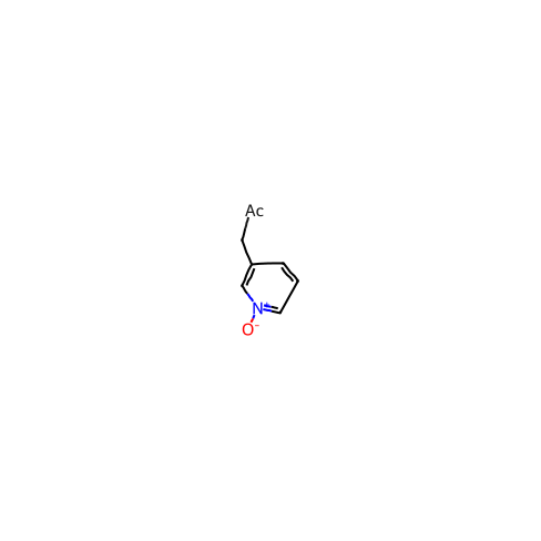 CC(=O)Cc1ccc[n+]([O-])c1